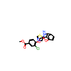 COC(=O)c1ccc(OCC2NC3C4C=CC(C4)(O2)C3C2CN=CS2)c(Cl)c1